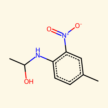 Cc1ccc(NC(C)O)c([N+](=O)[O-])c1